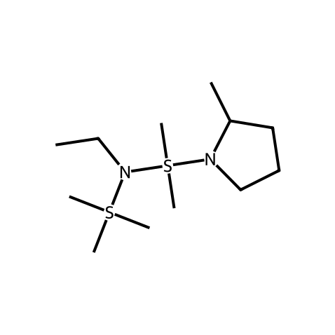 CCN(S(C)(C)C)S(C)(C)N1CCCC1C